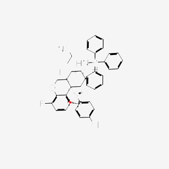 N#CCC[C@@H]1[C@H](N[PH](c2ccccc2)(c2ccccc2)c2ccccc2)CC[C@@]2(S(=O)(=O)c3ccc(Cl)cc3)c3c(F)ccc(F)c3OC[C@@H]12